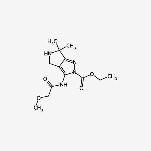 CCOC(=O)n1nc2c(c1NC(=O)COC)CNC2(C)C